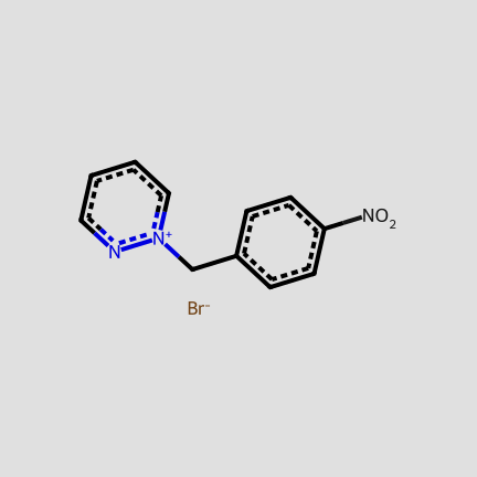 O=[N+]([O-])c1ccc(C[n+]2ccccn2)cc1.[Br-]